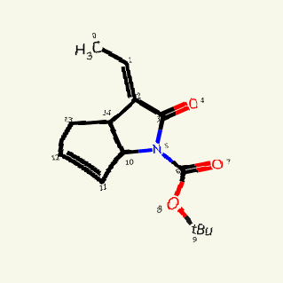 C/C=C1/C(=O)N(C(=O)OC(C)(C)C)C2C=CCC12